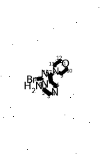 N[N+]12C=CN=CC1=C(N1CCOCC1)N=C2Br